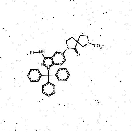 CCNc1nn(C(c2ccccc2)(c2ccccc2)c2ccccc2)c2ccc(N3CCC4(CCN(C(=O)O)C4)C3=O)cc12